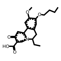 CCCCOc1cc2c(cc1OC)-c1cc(=O)c(C(=O)O)cn1C(CC)C2